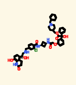 O=C(COc1cccc([C@](O)(C(=O)OCC2CCN(Cc3ccccc3)CC2)c2ccccc2)c1)N[C@H]1C[C@H](NC(=O)c2ccc(CNC[C@H](O)c3ccc(O)c4[nH]c(=O)ccc34)cc2Cl)C1